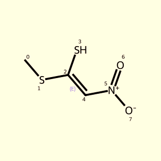 CS/C(S)=C/[N+](=O)[O-]